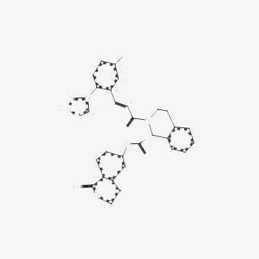 O=C(Nc1ccc2c(=O)[nH]ccc2c1)[C@@H]1c2ccccc2CCN1C(=O)/C=C/c1cc(Cl)ccc1-n1cnnn1